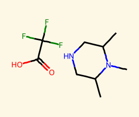 CC1CNCC(C)N1C.O=C(O)C(F)(F)F